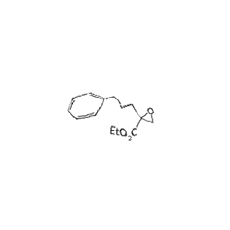 CCOC(=O)C1(CCCc2ccccc2)CO1